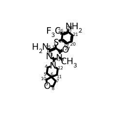 Cn1c(N2CCC3(CCOC3)CC2)nc(N)c(Sc2cccc(N)c2C(F)(F)F)c1=O